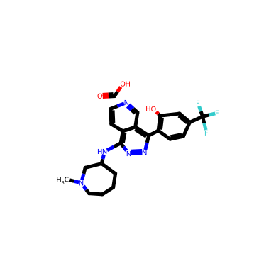 CN1CCCCC(Nc2nnc(-c3ccc(C(F)(F)F)cc3O)c3cnccc23)C1.O=CO